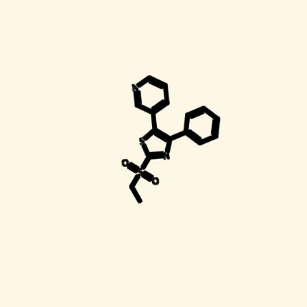 CCS(=O)(=O)c1nc(-c2ccccc2)c(-c2cccnc2)s1